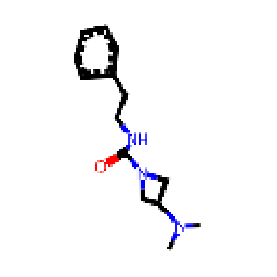 CN(C)C1CN(C(=O)NCCc2ccccc2)C1